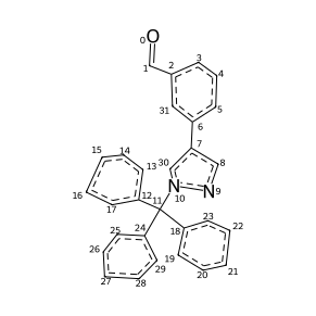 O=Cc1cccc(-c2cnn(C(c3ccccc3)(c3ccccc3)c3ccccc3)c2)c1